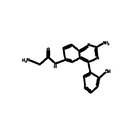 NCC(=O)Nc1ccc2nc(N)nc(-c3ccccc3O)c2c1